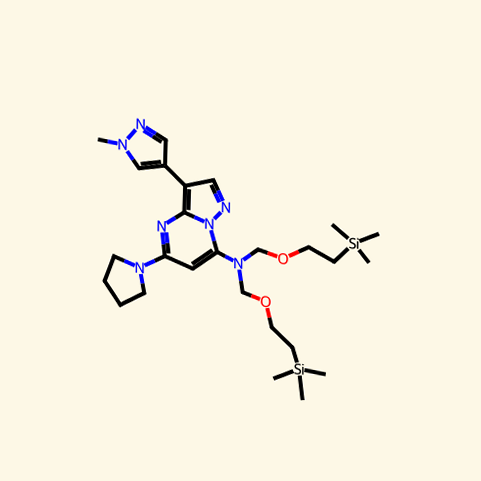 Cn1cc(-c2cnn3c(N(COCC[Si](C)(C)C)COCC[Si](C)(C)C)cc(N4CCCC4)nc23)cn1